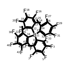 Cc1c(F)c(F)c(F)c(F)c1[B-](c1c(C)c(F)c(F)c(F)c1F)(c1c(C)c(F)c(F)c(F)c1F)c1c(C)c(F)c(F)c(F)c1F